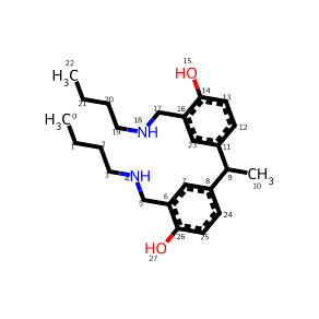 CCCCNCc1cc(C(C)c2ccc(O)c(CNCCCC)c2)ccc1O